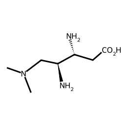 CN(C)C[C@H](N)[C@H](N)CC(=O)O